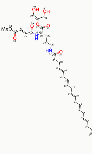 CCC=CCC=CCC=CCC=CCC=CCC=CCCC(=O)NCCC[C@H](NC(=O)C=CC(=O)OC)C(=O)OC(CO)CO